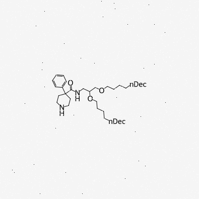 CCCCCCCCCCCCCCOCC(CNC(=O)C1(c2ccccc2)CCNCC1)OCCCCCCCCCCCCCC